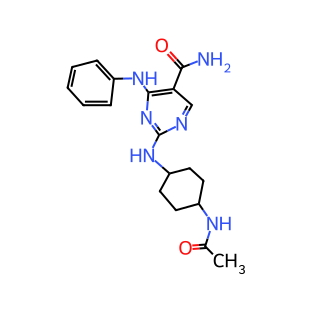 CC(=O)NC1CCC(Nc2ncc(C(N)=O)c(Nc3ccccc3)n2)CC1